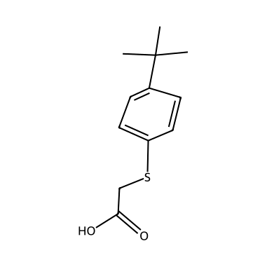 CC(C)(C)c1ccc(SCC(=O)O)cc1